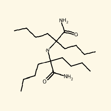 CCCCC(CCCC)([N]C(CCCC)(CCCC)C(N)=O)C(N)=O